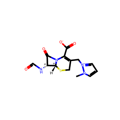 Cn1ccc[n+]1CC1=C(C(=O)[O-])N2C(=O)[C@@H](NC=O)[C@H]2SC1